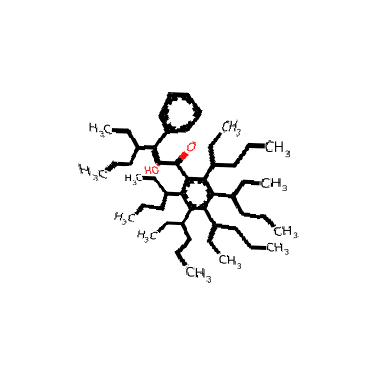 CCCC(CC)C(=C(O)C(=O)c1c(C(CC)CCC)c(C(CC)CCC)c(C(CC)CCC)c(C(CC)CCC)c1C(CC)CCC)c1ccccc1